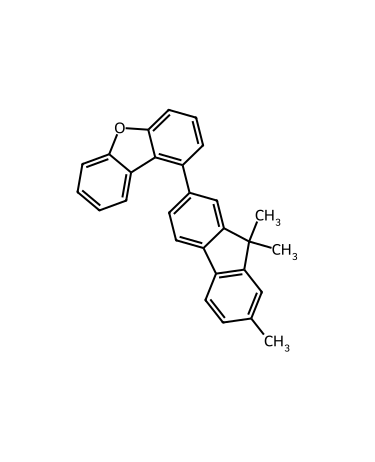 Cc1ccc2c(c1)C(C)(C)c1cc(-c3cccc4oc5ccccc5c34)ccc1-2